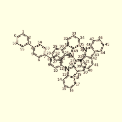 c1ccc(-c2ccc(-c3ccc(-n4c5ccccc5c5cccc(-n6c7ccccc7c7cccc(-n8c9ccccc9c9ccccc98)c76)c54)cc3)cc2)cc1